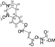 COC(=O)NOC(=O)/C=C/C(=O)Oc1ccc2c(c1)C1CCN(C)C(C1)N2C